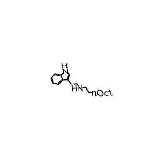 CCCCCCCCCCNCCc1c[nH]c2ccccc12